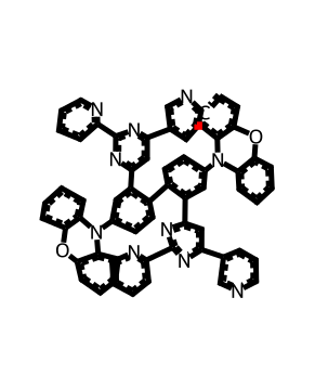 c1ccc(-c2nc(-c3cccnc3)cc(-c3cc(N4c5ccccc5Oc5ccccc54)ccc3-c3ccc(N4c5ccccc5Oc5ccccc54)cc3-c3cc(-c4cccnc4)nc(-c4ccccn4)n3)n2)nc1